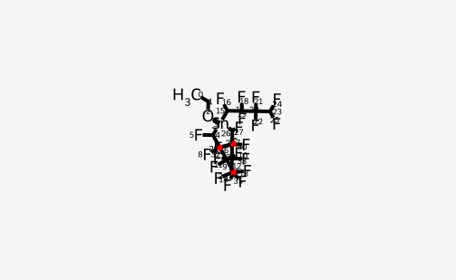 CC[O][Sn]([CH](F)C(F)(F)C(F)(F)C(F)F)([CH](F)C(F)(F)C(F)(F)C(F)F)[CH](F)C(F)(F)C(F)(F)C(F)F